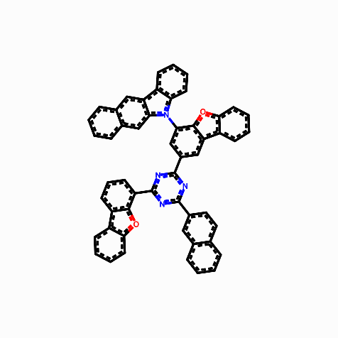 c1ccc2cc(-c3nc(-c4cc(-n5c6ccccc6c6cc7ccccc7cc65)c5oc6ccccc6c5c4)nc(-c4cccc5c4oc4ccccc45)n3)ccc2c1